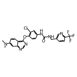 CN(C)c1ccc2c(Oc3ccc(NC(=O)NCc4ccc(C(F)(F)F)nc4)cc3Cl)ncnc2c1